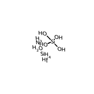 N.O.O[Si](O)(O)O.[Hf].[SiH4]